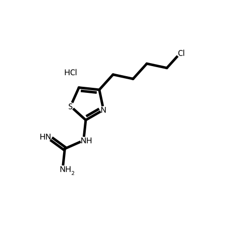 Cl.N=C(N)Nc1nc(CCCCCl)cs1